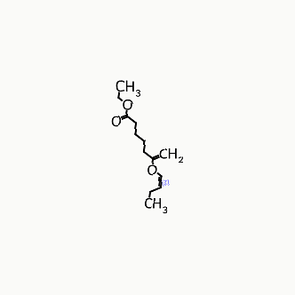 C=C(CCCCC(=O)OCC)O/C=C\CC